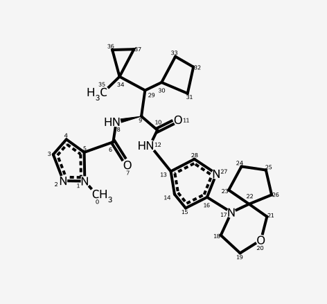 Cn1nccc1C(=O)N[C@H](C(=O)Nc1ccc(N2CCOCC23CCCC3)nc1)C(C1CCC1)C1(C)CC1